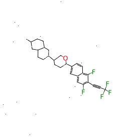 CC1CCC2CC(C3CCC(c4ccc5c(F)c(C#CC(F)(F)F)c(F)cc5c4)OC3)CCC2C1